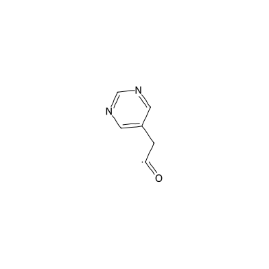 O=[C]Cc1cncnc1